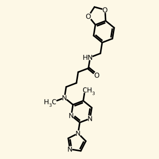 Cc1cnc(-n2ccnc2)nc1N(C)CCCC(=O)NCc1ccc2c(c1)OCO2